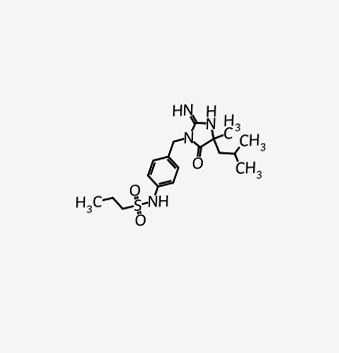 CCCS(=O)(=O)Nc1ccc(CN2C(=N)NC(C)(CC(C)C)C2=O)cc1